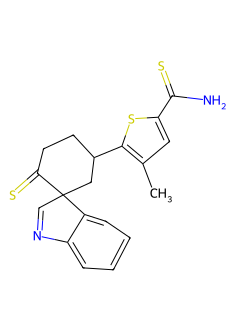 Cc1cc(C(N)=S)sc1C1CCC(=S)C2(C=Nc3ccccc32)C1